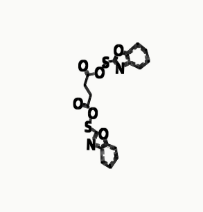 O=C(CCC(=O)OSc1nc2ccccc2o1)OSc1nc2ccccc2o1